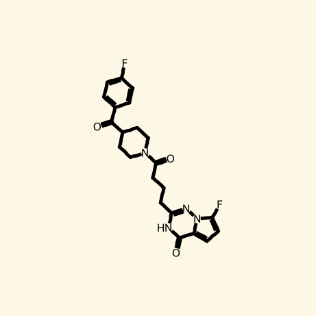 O=C(c1ccc(F)cc1)C1CCN(C(=O)CCCc2nn3c(F)ccc3c(=O)[nH]2)CC1